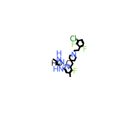 Cc1cc(Nc2cc(C)c(F)c(CC3(C(=O)O)CCN(CCc4c(F)ccc(Cl)c4F)CC3)n2)n[nH]1